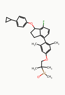 Cc1cc(OCC(C)(C)[S+](C)[O-])cc(C)c1-c1ccc(F)c2c1CCC2Oc1ccc(C2CC2)cc1